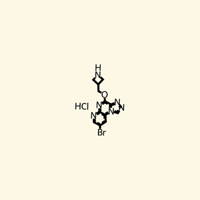 Brc1cnc2nc(OCC3CNC3)c3nncn3c2c1.Cl